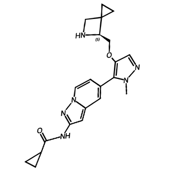 Cn1ncc(OC[C@H]2NCC23CC3)c1-c1ccn2nc(NC(=O)C3CC3)cc2c1